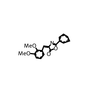 COc1cccc(C=C2N=C(c3ccccc3)OC2=O)c1OC